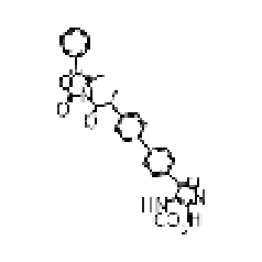 Cc1noc(-c2ccc(-c3ccc(C(C)C(=O)N4C(=O)O[C@@H](c5ccccc5)[C@H]4C)cc3)cc2)c1NC(=O)O